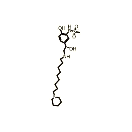 CS(=O)(=O)Nc1cc([C@@H](O)CNCCCCCCCCCN2CC[CH]CC2)ccc1O